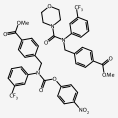 COC(=O)c1ccc(CN(C(=O)N2CCOCC2)c2cccc(C(F)(F)F)c2)cc1.COC(=O)c1ccc(CN(C(=O)Oc2ccc([N+](=O)[O-])cc2)c2cccc(C(F)(F)F)c2)cc1